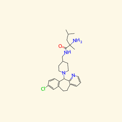 CC(C)CC(C)(N)C(=O)NCC1CCN(C2c3ccc(Cl)cc3CCc3cccnc32)CC1